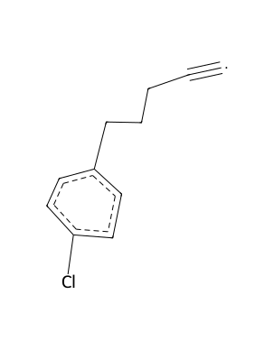 [C]#CCCCc1ccc(Cl)cc1